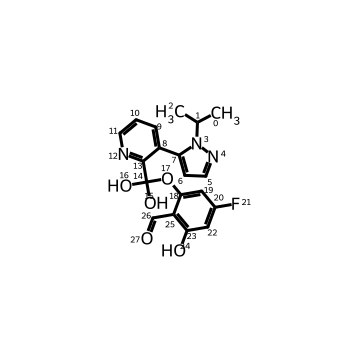 CC(C)n1nccc1-c1cccnc1C(O)(O)Oc1cc(F)cc(O)c1C=O